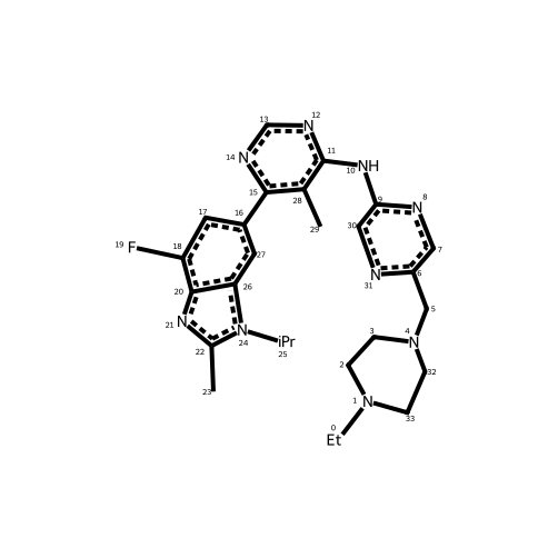 CCN1CCN(Cc2cnc(Nc3ncnc(-c4cc(F)c5nc(C)n(C(C)C)c5c4)c3C)cn2)CC1